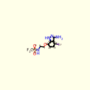 Nc1n[nH]c2c(OCCNS(=O)(=O)C(F)(F)F)ccc(I)c12